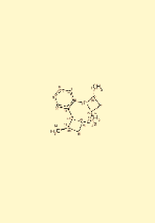 C[C@@H]1C[C@H](C)P1c1ccccc1P1[C@H](C)C[C@@H]1C